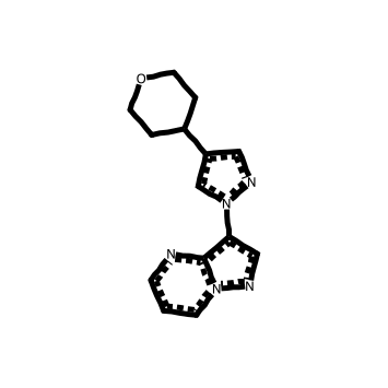 c1cnc2c(-n3cc(C4CCOCC4)cn3)cnn2c1